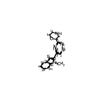 Cn1c(-c2cnnc(C3CNCCO3)n2)cc2ccccc21